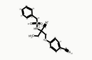 CCC(C#N)(COc1ccc(C#N)cc1)NS(=O)(=O)Cc1ccccc1